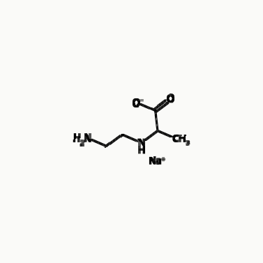 CC(NCCN)C(=O)[O-].[Na+]